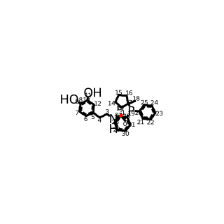 CC(NCCc1ccc(O)c(O)c1)[C@@H]1CCCC1(C)P(c1ccccc1)c1ccccc1